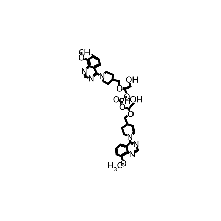 COc1cccc2c(N3CCC(COC(CO)O[PH](=O)OC(CO)OCC4CCN(c5ncnc6c(OC)cccc56)CC4)CC3)ncnc12